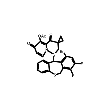 CC(=O)Oc1c2n(ccc1=O)N([C@@H]1c3ccccc3SCc3c(F)c(F)cc(Br)c31)CC1(CC1)C2=O